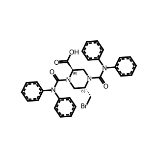 O=C(O)[C@H]1CN(C(=O)N(c2ccccc2)c2ccccc2)[C@H](CBr)CN1C(=O)N(c1ccccc1)c1ccccc1